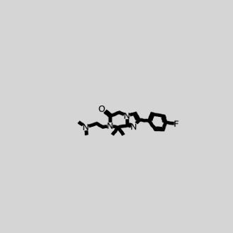 CN(C)CCN1C(=O)Cn2cc(-c3ccc(F)cc3)nc2C1(C)C